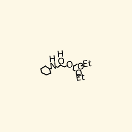 CCOCC(COCC)OCC(O)CNC1CCCCC1